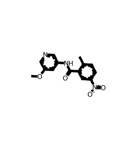 COc1cncc(NC(=O)c2cc([N+](=O)[O-])ccc2C)c1